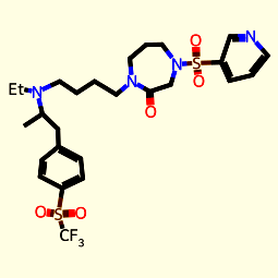 CCN(CCCCN1CCCN(S(=O)(=O)c2cccnc2)CC1=O)C(C)Cc1ccc(S(=O)(=O)C(F)(F)F)cc1